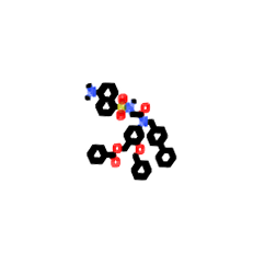 CN(C)c1cccc2c(S(=O)(=O)N(C)CC(=O)N(Cc3ccc(C4CCCCC4)cc3)c3ccc(COC(=O)c4ccccc4)c(OCc4ccccc4)c3)cccc12